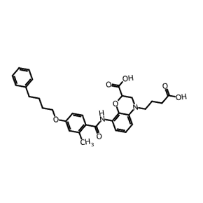 Cc1cc(OCCCCc2ccccc2)ccc1C(=O)Nc1cccc2c1OC(C(=O)O)CN2CCCC(=O)O